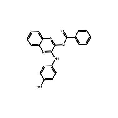 O=C(Nc1nc2ccccc2nc1Nc1ccc(O)cc1)c1ccccc1